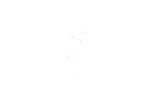 CCCCC1([C@H]2CCCN(C(=O)Cc3ccccc3)C2)NC(=N)N(C)C1=O